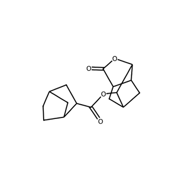 O=C(OC1C2CC3C(=O)OC1C3C2)C1CC2CCC1C2